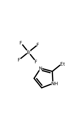 CCc1ncc[nH]1.F[B-](F)(F)F